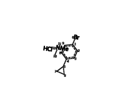 Brc1ccc(C2CC2)cc1.CNC.Cl